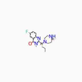 CCC[C@H](c1nc2ccc(F)cc2c(=O)n1C)N1CCN[C@H](C)CC1